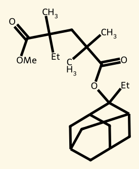 CCC(C)(CC(C)(C)C(=O)OC1(CC)C2CC3CC(C2)CC1C3)C(=O)OC